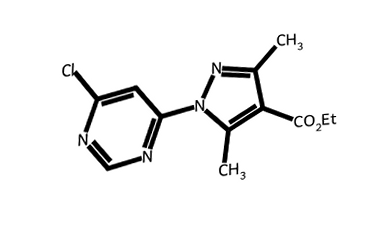 CCOC(=O)c1c(C)nn(-c2cc(Cl)ncn2)c1C